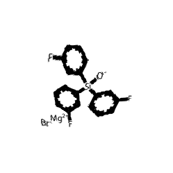 [Br-].[Mg+2].[O-][Si](c1cccc(F)c1)(c1cccc(F)c1)c1cccc(F)c1